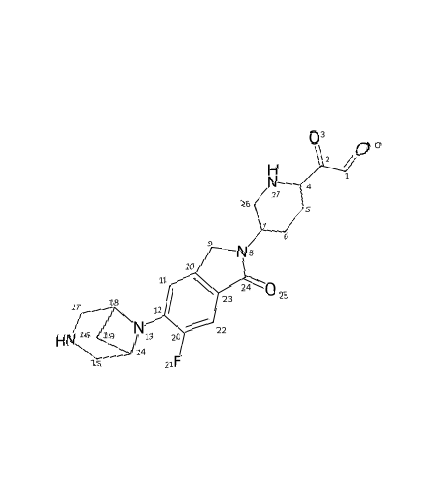 O=CC(=O)C1CCC(N2Cc3cc(N4C5CNCC4C5)c(F)cc3C2=O)CN1